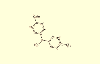 COc1ccc(C(C)c2ccc(C(F)(F)F)cc2)cn1